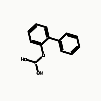 OP(O)Oc1ccccc1-c1ccccc1